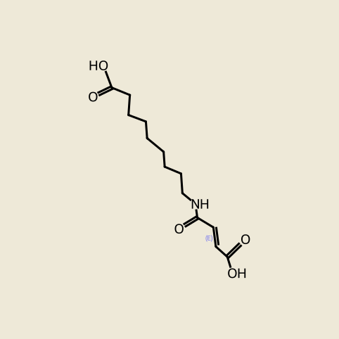 O=C(O)/C=C/C(=O)NCCCCCCCCC(=O)O